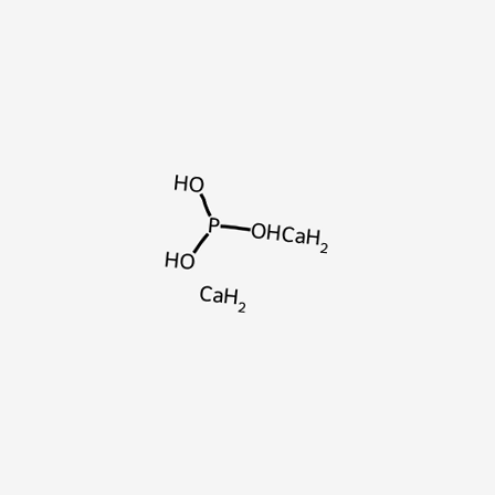 OP(O)O.[CaH2].[CaH2]